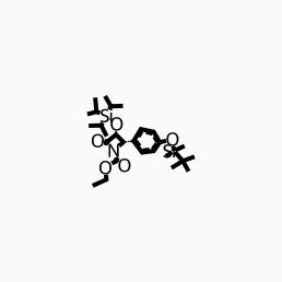 CCOC(=O)N1C(=O)[C@H](O[Si](C(C)C)(C(C)C)C(C)C)[C@@H]1c1ccc(O[Si](C)(C)C(C)(C)C)cc1